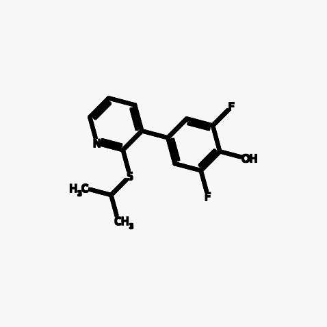 CC(C)Sc1ncccc1-c1cc(F)c(O)c(F)c1